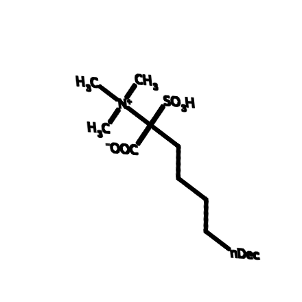 CCCCCCCCCCCCCCC(C(=O)[O-])([N+](C)(C)C)S(=O)(=O)O